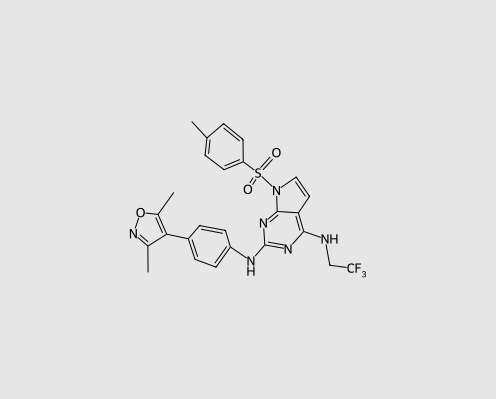 Cc1ccc(S(=O)(=O)n2ccc3c(NCC(F)(F)F)nc(Nc4ccc(-c5c(C)noc5C)cc4)nc32)cc1